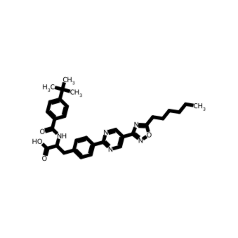 CCCCCCc1nc(-c2cnc(-c3ccc(CC(NC(=O)c4ccc(C(C)(C)C)cc4)C(=O)O)cc3)nc2)no1